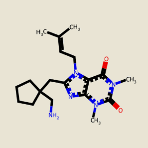 CC(C)=CCn1c(CC2(CN)CCCC2)nc2c1c(=O)n(C)c(=O)n2C